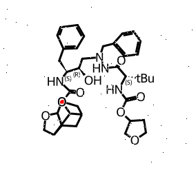 CC(C)(C)[C@H](NC(=O)OC1CCOC1)C(=O)NN(Cc1ccccc1)C[C@@H](O)[C@H](Cc1ccccc1)NC(=O)OC1C2COC3OCC1C3C2